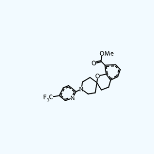 COC(=O)c1cccc2c1OC1(CC2)CCN(c2ccc(C(F)(F)F)cn2)CC1